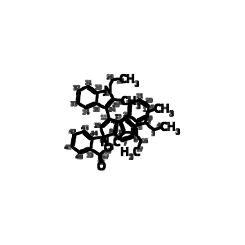 CCC(CC)c1ccc(C2(C=C(c3c(C)n(CC)c4ccccc34)c3c(C)n(CC)c4ccccc34)OC(=O)c3ccccc32)cc1